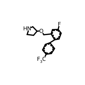 Fc1ccc(-c2ccc(C(F)(F)F)cc2)c(COC2CCNC2)c1